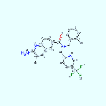 Cc1ccccc1CN(Cc1ccc(C(F)(F)F)cn1)C(=O)c1ccc2nc(N)c(C)cc2c1